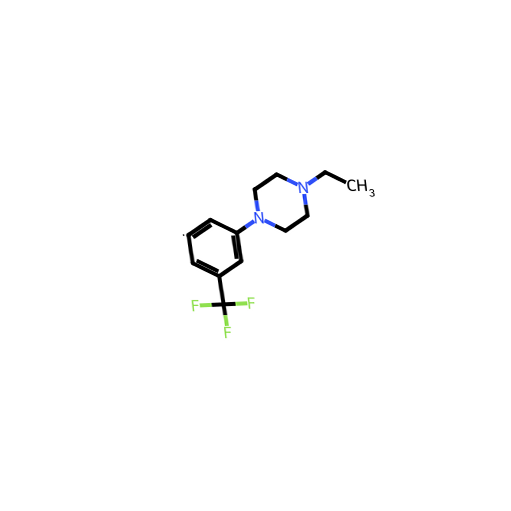 CCN1CCN(c2c[c]cc(C(F)(F)F)c2)CC1